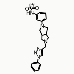 CC(C)S(=O)(=O)Nc1cccc(N2CC3CN(Cc4cn(-c5ccccc5)nn4)CC3C2)c1